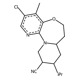 Cc1c(Cl)cnc2c1OCCC1CC(C(C)C)C(C#N)CN21